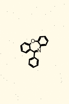 c1ccc(C2=Nc3ccccc3Oc3ccccc32)cc1